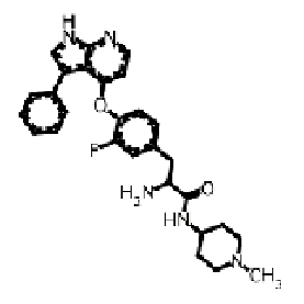 CN1CCC(NC(=O)C(N)Cc2ccc(Oc3ccnc4[nH]cc(-c5ccccc5)c34)c(F)c2)CC1